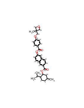 CC1CCC(C(C)C)C(OC(=O)c2ccc3cc(OC(=O)c4ccc(OCC5(C)COC5)cc4)ccc3c2)C1